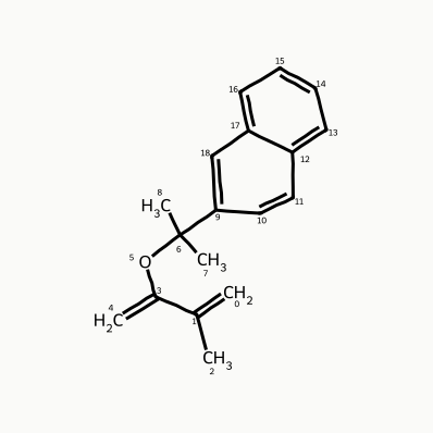 C=C(C)C(=C)OC(C)(C)c1ccc2ccccc2c1